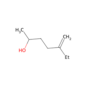 C=C(CC)CCC(C)O